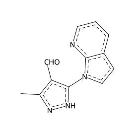 Cc1n[nH]c(-n2ccc3cccnc32)c1C=O